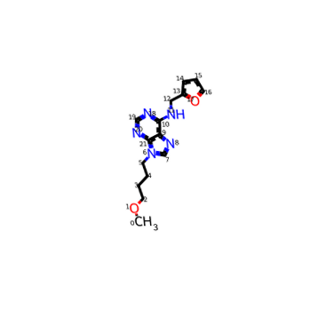 COCCCCn1cnc2c(NCc3ccco3)ncnc21